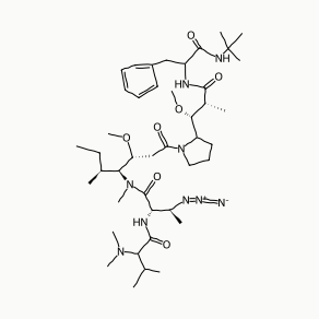 CC[C@H](C)[C@@H]([C@@H](CC(=O)N1CCCC1[C@H](OC)[C@@H](C)C(=O)NC(Cc1ccccc1)C(=O)NC(C)(C)C)OC)N(C)C(=O)[C@@H](NC(=O)C(C(C)C)N(C)C)[C@H](C)N=[N+]=[N-]